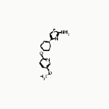 COc1ccc(O[C@H]2CC[C@H](c3csc(N)n3)CC2)nc1